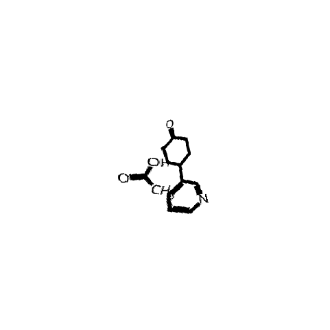 CC(=O)O.O=C1CCC(c2cccnc2)CC1